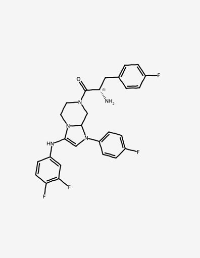 N[C@@H](Cc1ccc(F)cc1)C(=O)N1CCN2C(Nc3ccc(F)c(F)c3)=CN(c3ccc(F)cc3)C2C1